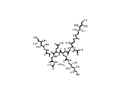 CSC[C@@H](NC(=O)[C@H](CCC(=O)NC[C@H](O)[C@@H](O)[C@H](O)[C@H](O)CO)NC(=O)[C@@H](CCC(=O)O)NC(=O)[C@H](CCC(=O)NC[C@H](O)[C@@H](O)[C@H](O)[C@H](O)CO)NC(=O)[C@@H](CCC(=O)O)NC(=O)[C@@H](N)CCC(=O)NC[C@H](O)[C@@H](O)[C@H](O)[C@H](O)CO)C(=O)O